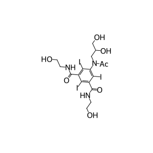 CC(=O)N(CC(O)CO)c1c(I)c(C(=O)NCCO)c(I)c(C(=O)NCCO)c1I